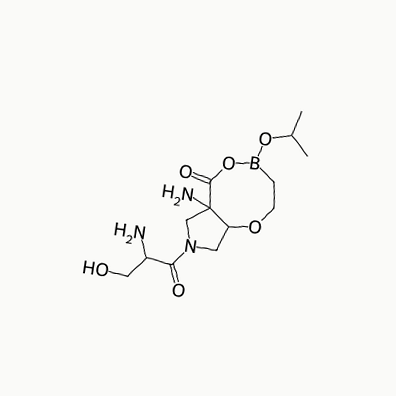 CC(C)OB1CCOC2CN(C(=O)C(N)CO)CC2(N)C(=O)O1